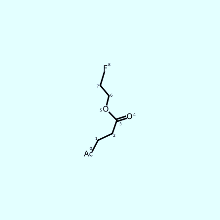 CC(=O)CCC(=O)OCCF